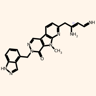 Cn1c2nc(C/C(N)=C/C=N)ccc2c2cnn(Cc3cccc4[nH]ncc34)c(=O)c21